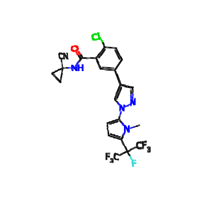 Cn1c(-n2cc(-c3ccc(Cl)c(C(=O)NC4(C#N)CC4)c3)cn2)ccc1C(F)(C(F)(F)F)C(F)(F)F